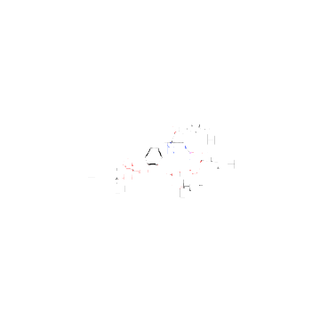 CCC(C)(C)OC(=O)Oc1ccc(C[C@](N)(CCOC(=O)C(C)(C)CC)C(=O)OC)cc1OC(=O)OC(C)(C)CC